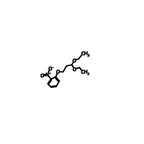 CCOC(CCOc1ccccc1[N+](=O)[O-])OCC